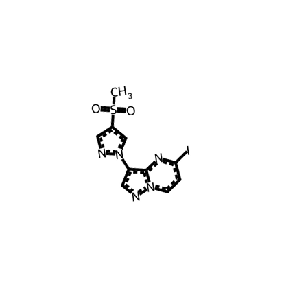 CS(=O)(=O)c1cnn(-c2cnn3ccc(I)nc23)c1